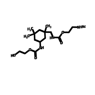 CC(=O)NCCOC(=O)NCC1(C)CC(NC(=O)OCCO)CC(C)(C)C1